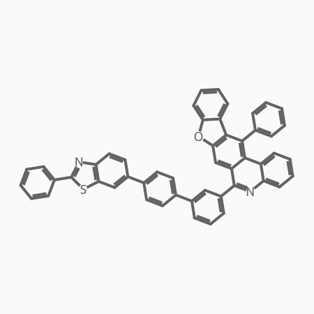 c1ccc(-c2nc3ccc(-c4ccc(-c5cccc(-c6nc7ccccc7c7c(-c8ccccc8)c8c(cc67)oc6ccccc68)c5)cc4)cc3s2)cc1